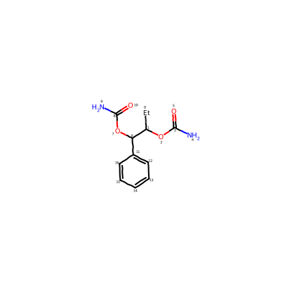 CCC(OC(N)=O)C(OC(N)=O)c1ccccc1